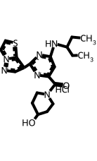 CCC(CC)Nc1cc(C(=O)N2CCC(O)CC2)nc(-c2cnn3ccsc23)n1.Cl